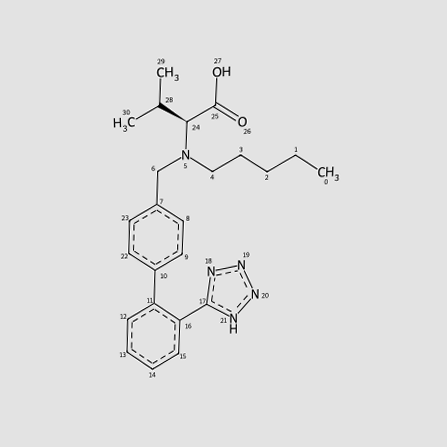 CCCCCN(Cc1ccc(-c2ccccc2-c2nnn[nH]2)cc1)[C@H](C(=O)O)C(C)C